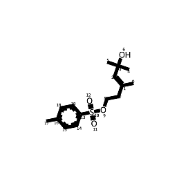 CC(=CC(C)(C)O)CCOS(=O)(=O)c1ccc(C)cc1